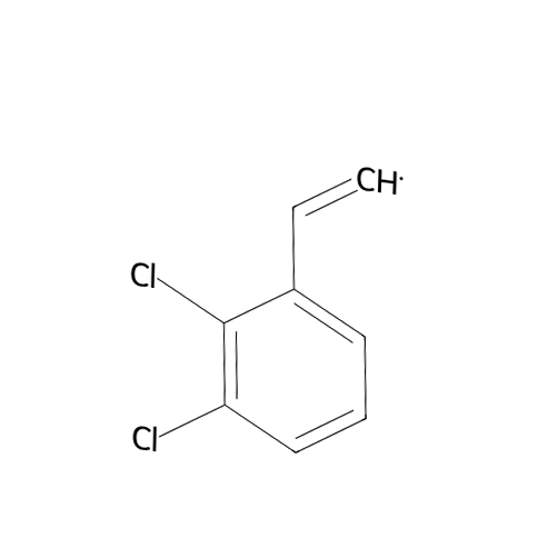 [CH]=Cc1cccc(Cl)c1Cl